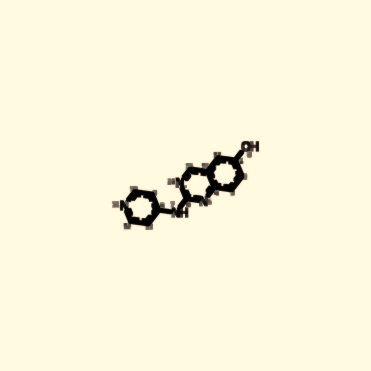 Oc1ccc2nc(Nc3ccncc3)ncc2c1